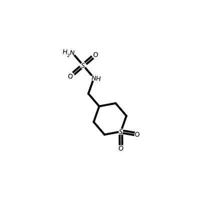 NS(=O)(=O)NCC1CCS(=O)(=O)CC1